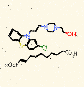 CCCCCCCCC=CCCCCCCCC(=O)O.OCCN1CCN(CCCN2c3ccccc3Sc3ccc(Cl)cc32)CC1